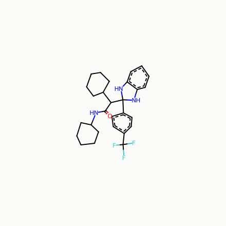 O=C(NC1CCCCC1)C(C1CCCCC1)C1(c2ccc(C(F)(F)F)cc2)Nc2ccccc2N1